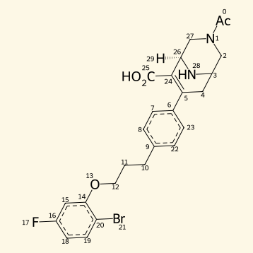 CC(=O)N1CC2CC(c3ccc(CCCOc4cc(F)ccc4Br)cc3)=C(C(=O)O)[C@@H](C1)N2